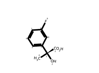 C[C@](O)(C(=O)O)c1cccc(F)c1